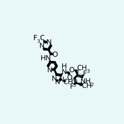 C#C/C(F)=C\C(=C(/N)F)[C@@H](C)OC(=O)Nc1c(-c2ccc(NC(=O)c3cnc(C(F)(F)F)nc3)cn2)nnn1C